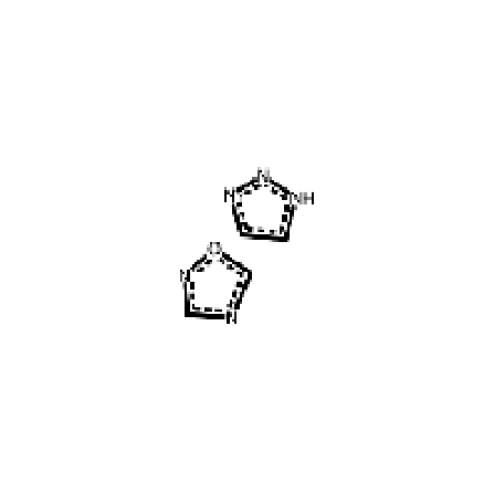 c1c[nH]nn1.c1ncon1